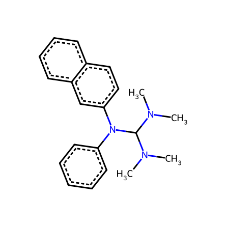 CN(C)C(N(C)C)N(c1ccccc1)c1ccc2ccccc2c1